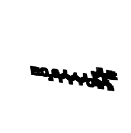 CCOC(=O)CCCCCCOc1ccc(CC)c(C)c1